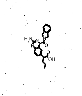 CCCC(C(=O)O)c1ccc2nc(N)nc(C(=O)N3Cc4ccccc4C3)c2c1